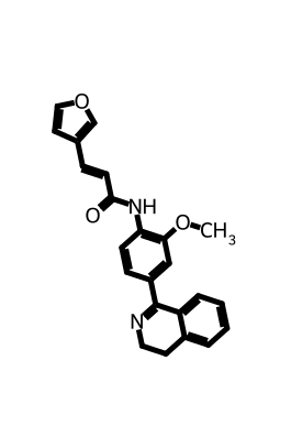 COc1cc(C2=NCCc3ccccc32)ccc1NC(=O)C=Cc1ccoc1